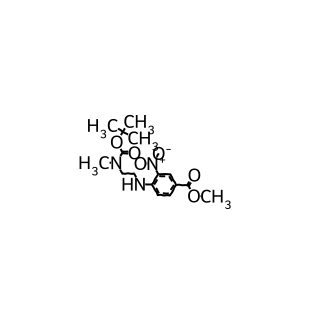 COC(=O)c1ccc(NCCN(C)C(=O)OC(C)(C)C)c([N+](=O)[O-])c1